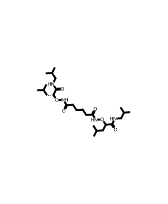 CC(C)CNC(=O)C(CC(C)C)ONC(=O)CCCCC(=O)NO[C@H](CC(C)C)C(=O)NCC(C)C